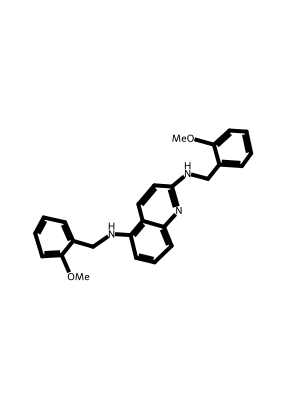 COc1ccccc1CNc1ccc2c(NCc3ccccc3OC)cccc2n1